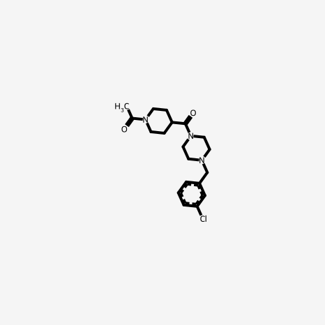 CC(=O)N1CCC(C(=O)N2CCN(Cc3cccc(Cl)c3)CC2)CC1